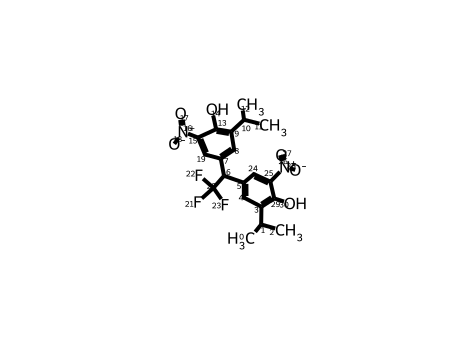 CC(C)c1cc(C(c2cc(C(C)C)c(O)c([N+](=O)[O-])c2)C(F)(F)F)cc([N+](=O)[O-])c1O